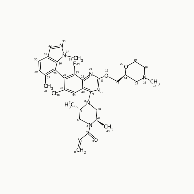 C=CC(=O)N1C[C@H](C)N(c2nc(OC[C@@H]3CN(C)CCO3)nc3c(F)c(-c4c(C)ccc5cnn(C)c45)c(Cl)cc23)C[C@H]1C